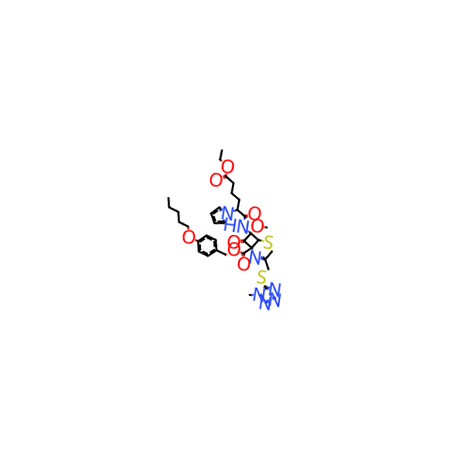 CCCCCOc1ccc(COC(=O)C23N=C(CSc4nnnn4C)CSC2C(NC(=O)C(CCCC(=O)OCC)n2cccc2)(OC)C3=O)cc1